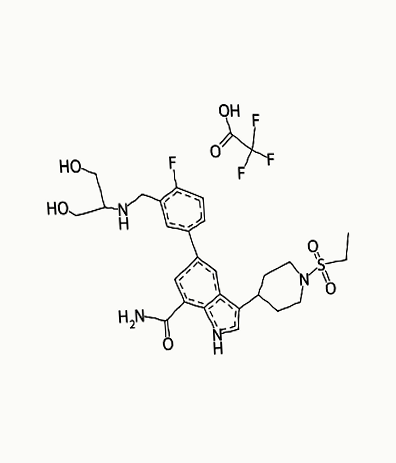 CCS(=O)(=O)N1CCC(c2c[nH]c3c(C(N)=O)cc(-c4ccc(F)c(CNC(CO)CO)c4)cc23)CC1.O=C(O)C(F)(F)F